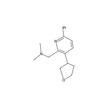 CC(C)c1ccc(C2CCOC2)c(CN(C)C)n1